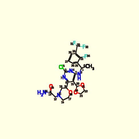 CC(Nc1nc(Cl)nc(C2CN(CC(N)=O)CCO2)c1C1OCCO1)c1cccc(C(F)F)c1F